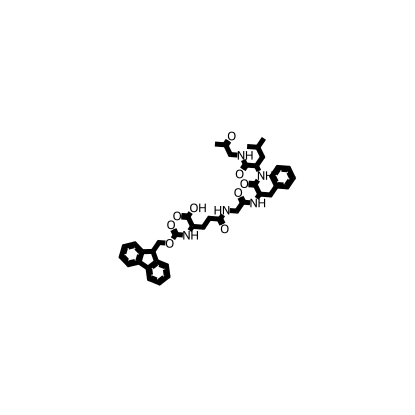 CC(=O)CNC(=O)C(CC(C)C)NC(=O)C(Cc1ccccc1)NC(=O)CNC(=O)CCC(NC(=O)OCC1c2ccccc2-c2ccccc21)C(=O)O